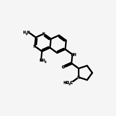 Nc1nc(N)c2cc(NC(=O)C3CCCN3C(=O)O)ccc2n1